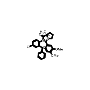 COc1ccc(CN2CCC[C@]2(C)C(=O)Nc2ccc(Cl)cc2C(=O)c2ccccc2)cc1OC